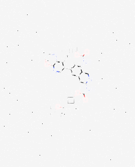 Cc1c(-c2cc3cc(NC(=O)OC4CC(CO[Si](C)(C)C(C)(C)C)C4)ncc3c(NC(=O)OC(C)(C)C)c2F)cnc2c1N(C(=O)O)CCO2